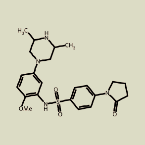 COc1ccc(N2CC(C)NC(C)C2)cc1NS(=O)(=O)c1ccc(N2CCCC2=O)cc1